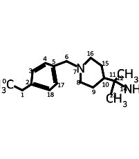 CCc1ccc(CN2CCC(C(C)(C)N)CC2)cc1